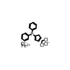 C1=CCC(P(c2ccccc2)c2ccccc2)=C1.ClCCl.[Cl-].[Cl-].[Fe+2]